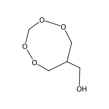 OCC1COOCOOC1